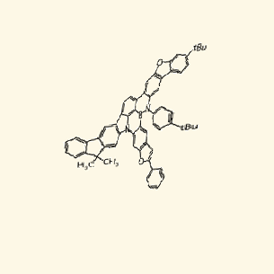 CC(C)(C)c1ccc(N2B3c4cc5cc(-c6ccccc6)oc5cc4-n4c5cc6c(cc5c5ccc(c3c54)-c3cc4oc5cc(C(C)(C)C)ccc5c4cc32)-c2ccccc2C6(C)C)cc1